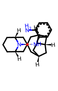 Nc1ccccc1N[C@H]1C[C@H]2CCC[C@@H](C1)N2[C@@H]1C[C@@H]2CC3[C@@H](C2)C[C@H]3C1